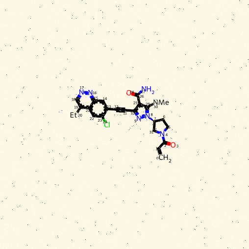 C=CC(=O)N1CC[C@H](n2nc(C#Cc3cc4nncc(CC)c4cc3Cl)c(C(N)=O)c2NC)C1